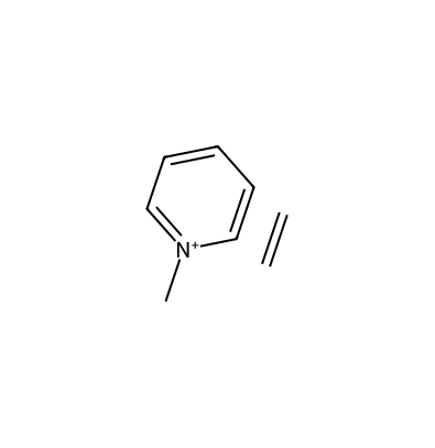 C=C.C[n+]1ccccc1